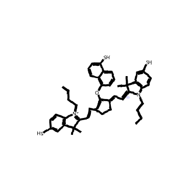 CCCCN1/C(=C/C=C2CCC(C=CC3=[N+](CCCC)c4ccc(S)cc4C3(C)C)=C2Oc2cccc3c(S)cccc23)C(C)(C)c2cc(S)ccc21